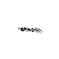 CC(C)(C)OC(=O)N1CCN(CCC(=O)Nc2cn3cc(Br)ccc3n2)CC1